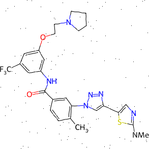 CNc1ncc(-c2cn(-c3cc(C(=O)Nc4cc(OCCN5CCCC5)cc(C(F)(F)F)c4)ccc3C)nn2)s1